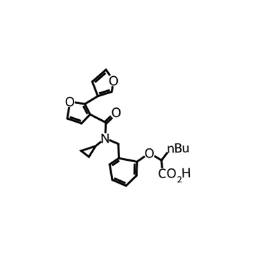 CCCCC(Oc1ccccc1CN(C(=O)c1ccoc1-c1ccoc1)C1CC1)C(=O)O